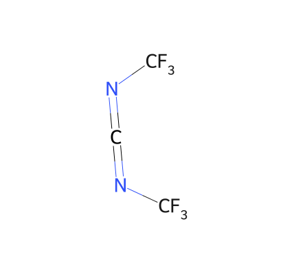 FC(F)(F)N=C=NC(F)(F)F